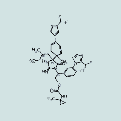 C[C@@H](CC#N)C[C@]1(C2(C)C=CC(c3cnn(C(F)F)c3)=CC2)NC(=N)N([C@H](COC(=O)NC2(C(F)(F)F)CC2)c2ccc(Cl)c(-n3ncnc3C(F)F)c2)C1=O